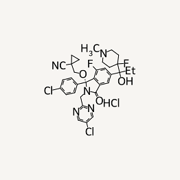 CCC(O)(c1cc(F)c2c(c1)C(=O)N(Cc1ncc(Cl)cn1)[C@@]2(OCC1(C#N)CC1)c1ccc(Cl)cc1)C1(F)CCN(C)CC1.Cl